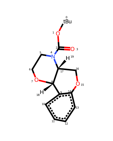 CC(C)(C)OC(=O)N1CCO[C@H]2c3ccccc3OC[C@H]21